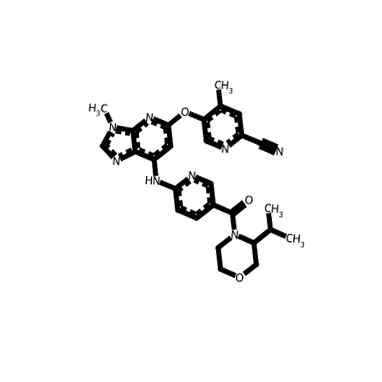 Cc1cc(C#N)ncc1Oc1cc(Nc2ccc(C(=O)N3CCOCC3C(C)C)cn2)c2ncn(C)c2n1